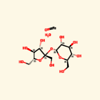 O.OC[C@H]1O[C@@](CO)(O[C@H]2O[C@H](CO)[C@@H](O)[C@H](O)[C@H]2O)[C@@H](O)[C@@H]1O.[O]=[Fe]